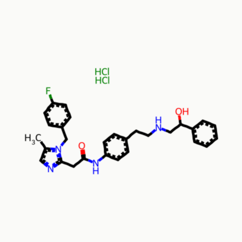 Cc1cnc(CC(=O)Nc2ccc(CCNCC(O)c3ccccc3)cc2)n1Cc1ccc(F)cc1.Cl.Cl